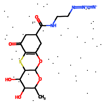 CC1OC2OC3=C(SC2C(O)C1O)C(=O)CC(C(=O)NCCN=[N+]=[N-])C3